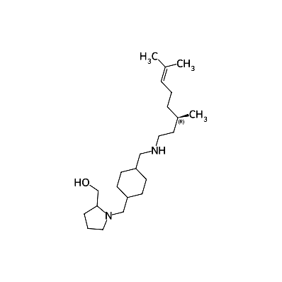 CC(C)=CCC[C@@H](C)CCNCC1CCC(CN2CCCC2CO)CC1